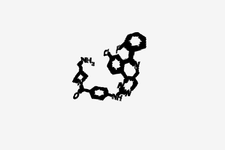 NCC1CN(C(=O)c2ccc(Nc3ncc4c(n3)-c3ccc(Cl)cc3C(c3ccccc3F)=NC4)cc2)C1